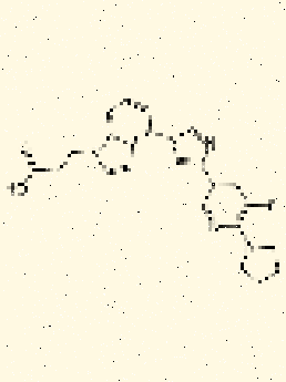 O=C(O)CCn1ccc2c(-n3cnc(-c4cnc(N5CCCC5)c(Cl)c4)c3)cccc21